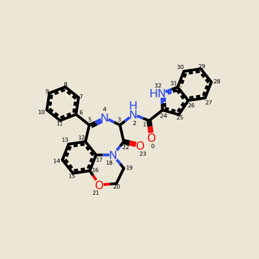 O=C(NC1N=C(c2ccccc2)c2cccc3c2N(CCO3)C1=O)c1cc2ccccc2[nH]1